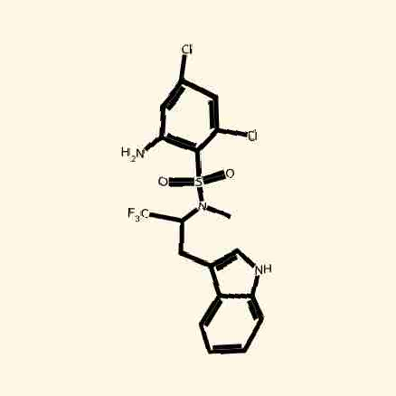 CN(C(Cc1c[nH]c2ccccc12)C(F)(F)F)S(=O)(=O)c1c(N)cc(Cl)cc1Cl